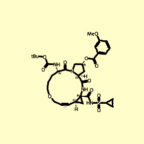 COc1cccc(C(=O)O[C@@H]2C[C@H]3C(=O)N[C@]4(C(=O)NS(=O)(=O)C5CC5)C[C@H]4/C=C\COCCC[C@H](NC(=O)OC(C)(C)C)C(=O)N3C2)c1